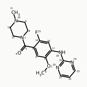 COc1cc(C(=O)N2CCN(C)CC2)c(F)cc1Nc1ncccn1